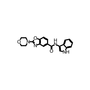 O=C(Nc1c[nH]c2ccccc12)c1ccc2oc(N3CCOCC3)nc2c1